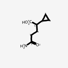 NC(=O)CCC(C(=O)O)C1CC1